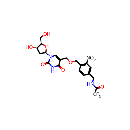 O=C(NCc1ccc(COCc2cn([C@H]3C[C@@H](O)[C@@H](CO)O3)c(=O)[nH]c2=O)c([N+](=O)[O-])c1)C(F)(F)F